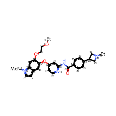 CCOCCOc1cc2c(ccn2NC)cc1Oc1ccnc(NC(=O)c2ccc(C3CN(CC)C3)cc2)c1